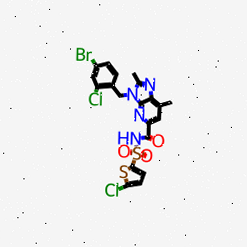 Cc1cc(C(=O)NS(=O)(=O)c2ccc(Cl)s2)nc2c1nc(C)n2Cc1ccc(Br)cc1Cl